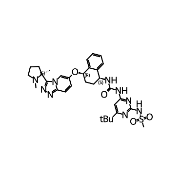 CN1CCC[C@@]1(C)c1nnc2ccc(O[C@@H]3CC[C@H](NC(=O)Nc4cc(C(C)(C)C)nc(NS(C)(=O)=O)n4)c4ccccc43)cn12